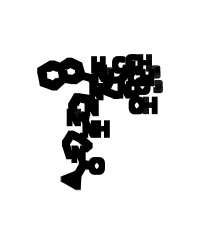 CC(C)(C)C1c2nc(-c3ccc4ccccc4c3)n(-c3ccnc(NC4CCCN(C(=O)C5CC5)C4)n3)c2CN1C(=O)O